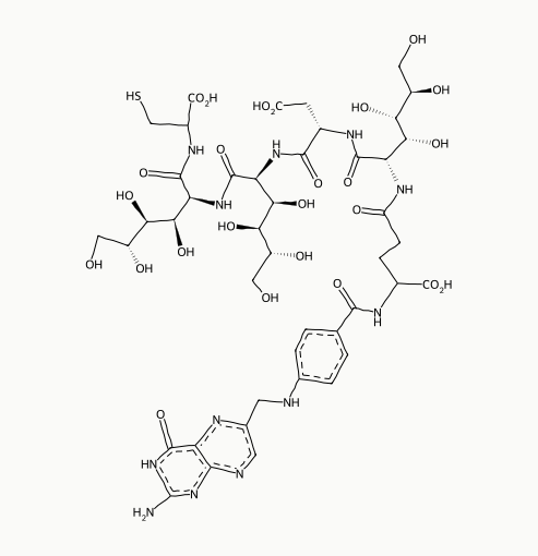 Nc1nc2ncc(CNc3ccc(C(=O)NC(CCC(=O)N[C@H](C(=O)N[C@@H](CC(=O)O)C(=O)N[C@H](C(=O)N[C@H](C(=O)NC(CS)C(=O)O)[C@@H](O)[C@H](O)[C@H](O)CO)[C@@H](O)[C@H](O)[C@H](O)CO)[C@@H](O)[C@H](O)[C@H](O)CO)C(=O)O)cc3)nc2c(=O)[nH]1